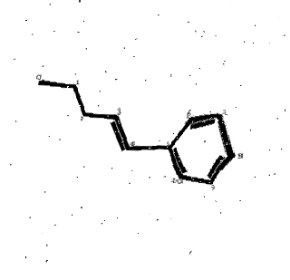 CCCC=Cc1[c]cccc1